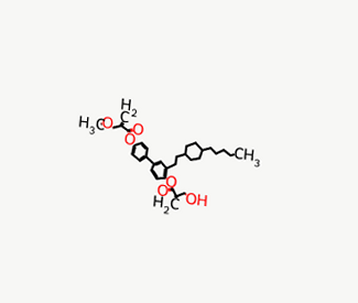 C=C(COC)C(=O)Oc1ccc(-c2ccc(OC(=O)C(=C)CO)c(CCC3CCC(CCCCC)CC3)c2)cc1